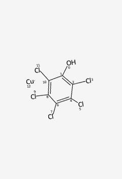 Oc1c(Cl)c(Cl)c(Cl)c(Cl)c1Cl.[Cu]